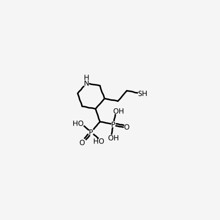 O=P(O)(O)C(C1CCNCC1CCS)P(=O)(O)O